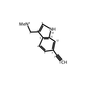 C#Cc1ccc2c(CNC)c[nH]c2c1